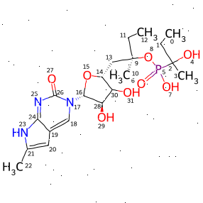 CCC(C)(O)P(=O)(O)O[C@](C)(CC)C[C@H]1O[C@@H](n2cc3cc(C)[nH]c3nc2=O)[C@H](O)C1O